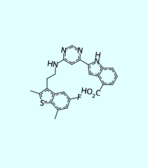 Cc1sc2c(C)cc(F)cc2c1CCNc1cc(-c2cc3c(C(=O)O)cccc3[nH]2)ncn1